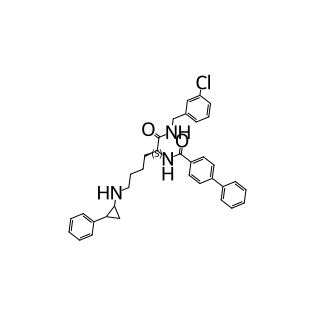 O=C(N[C@@H](CCCCNC1CC1c1ccccc1)C(=O)NCc1cccc(Cl)c1)c1ccc(-c2ccccc2)cc1